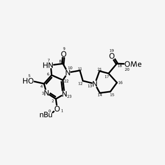 CCCCOc1nc(O)c2[nH]c(=O)n(CCN3CCCC(C(=O)OC)C3)c2n1